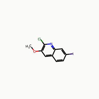 COc1cc2ccc(I)cc2nc1Cl